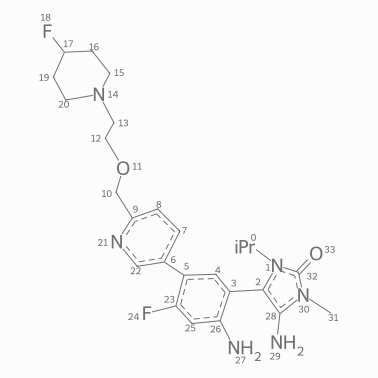 CC(C)n1c(-c2cc(-c3ccc(COCCN4CCC(F)CC4)nc3)c(F)cc2N)c(N)n(C)c1=O